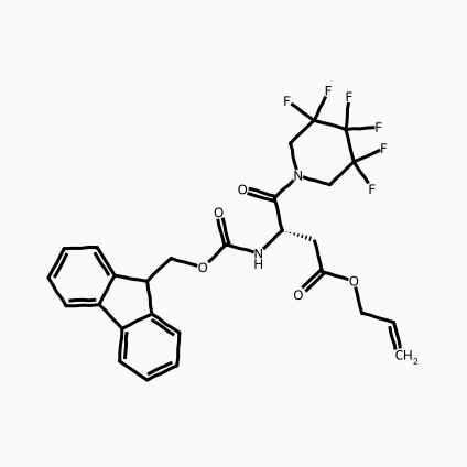 C=CCOC(=O)C[C@H](NC(=O)OCC1c2ccccc2-c2ccccc21)C(=O)N1CC(F)(F)C(F)(F)C(F)(F)C1